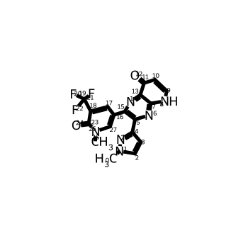 Cn1ccc(-c2nc3[nH]ccc(=O)c3nc2-c2cc(C(F)(F)F)c(=O)n(C)c2)n1